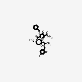 CC1C[C@]2(CC[C@H](CO)N3C[C@H]2n2cc(C(N)=O)c(=O)c(OCc4ccccc4)c2C3=O)ON1Cc1ccc(F)cc1F